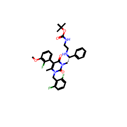 COc1cccc(-c2c(C)n(Cc3c(F)cccc3F)c(=O)n(C[C@H](NCCNC(=O)OC(C)(C)C)c3ccccc3)c2=O)c1F